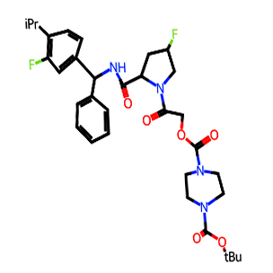 CC(C)c1ccc(C(NC(=O)C2CC(F)CN2C(=O)COC(=O)N2CCN(C(=O)OC(C)(C)C)CC2)c2ccccc2)cc1F